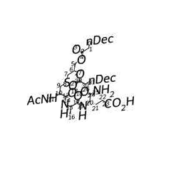 CCCCCCCCCCCC(=O)OC[C@H](CSC[C@H](NC(C)=O)C(=O)N[C@H](C)C(=O)N[C@@H](CCC(=O)O)C(N)=O)OC(=O)CCCCCCCCCCC